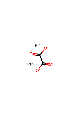 O=C([O-])C(=O)[O-].[Pt+].[Pt+]